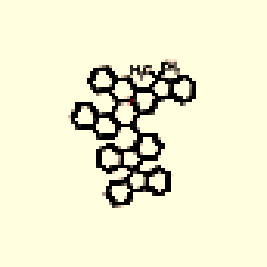 CC1(C)c2ccccc2-c2cc(N(c3cccc4c3-c3ccccc3C43c4ccccc4-c4ccccc43)c3ccc4ccccc4c3-c3cccc4ccccc34)ccc21